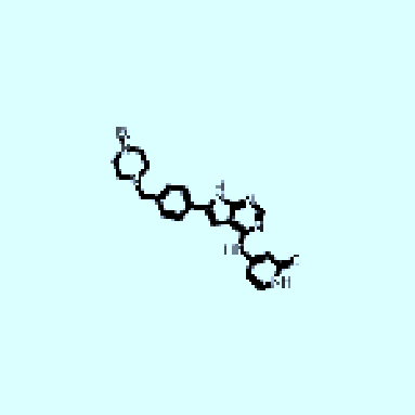 CCN1CCN(Cc2ccc(-c3cc4c(Nc5cc[nH]c(=O)c5)ncnc4[nH]3)cc2)CC1